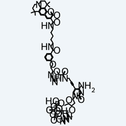 CC1(C)CCN2CCC(C)(C)c3c2c1cc1cc(C(=O)NCCCCCNC(=O)c2cccc(OCC(N=[N+]=[N-])OCC(=O)NCC#Cc4cn(C5CC(OCN=[N+]=[N-])C(COP(=O)(O)OP(=O)(O)OP(=O)(O)O)O5)c(=O)nc4N)c2)c(=O)oc31